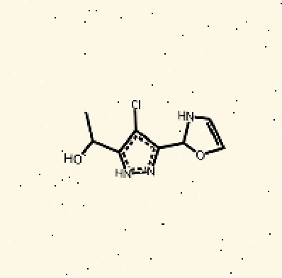 CC(O)c1[nH]nc(C2NC=CO2)c1Cl